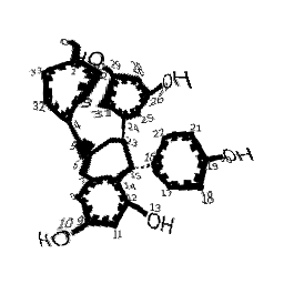 Cc1ccc(/C=C2/c3cc(O)cc(O)c3[C@@H](c3ccc(O)cc3)[C@@H]2c2cc(O)cc(O)c2)cc1